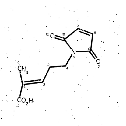 CC(=CCCN1C(=O)C=CC1=O)C(=O)O